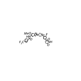 COc1cc2nn(C3CCN(Cc4ccc(N5CCC(=O)NC5=O)cc4F)CC3)cc2cc1NC(=O)c1ccc(C(F)(F)F)nc1